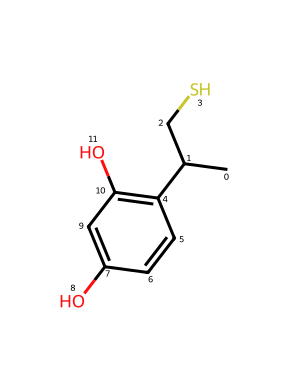 CC(CS)c1ccc(O)cc1O